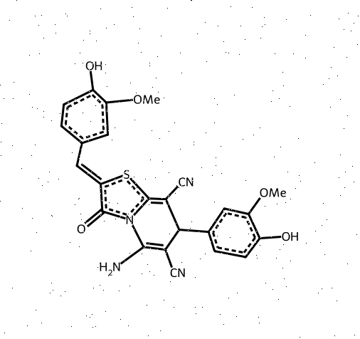 COc1cc(C=c2sc3n(c2=O)C(N)=C(C#N)C(c2ccc(O)c(OC)c2)C=3C#N)ccc1O